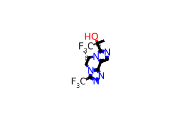 C[C@H]1Cn2c(nnc2C(F)(F)F)-c2cnc([C@@](C)(O)C(F)(F)F)n21